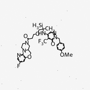 COc1ccc(Cn2ncc(NC(C)([SiH3])COCCC(=O)N3CCN4c5ncc(F)cc5OCC4C3)c(C(F)(F)F)c2=O)cc1